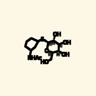 CC(=O)NC1CCCC(S[C@@H]2O[C@H](CO)[C@H](O)[C@H](O)[C@H]2O)C1